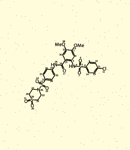 COc1cc(NS(=O)(=O)c2ccc(Cl)cc2)c(C(=O)Nc2ccc(S(=O)(=O)N3CCS(=O)(=O)CC3)cc2)cc1OC